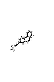 C[Si](C)(C)C#Cc1cnc2c(ccc3cccnc32)c1